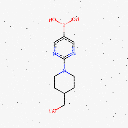 OCC1CCN(c2ncc(B(O)O)cn2)CC1